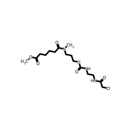 COC(=O)CCCCC(=O)N(C)CCCOC(=O)NCCNC(=O)CCl